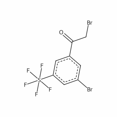 O=C(CBr)c1cc(Br)cc(S(F)(F)(F)(F)F)c1